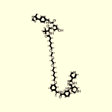 Cc1ncsc1-c1ccc(CNC(=O)[C@@H]2C[C@@H](O)CN2C(=O)[C@@H](NC(=O)CCCCCOCCOCCOCCCCCCOc2cccc([C@H](C)NC(=O)c3cccc(NC4(c5nnc(-c6ccncc6)[nH]5)CCNCC4)c3)c2)C(C)(C)C)cc1